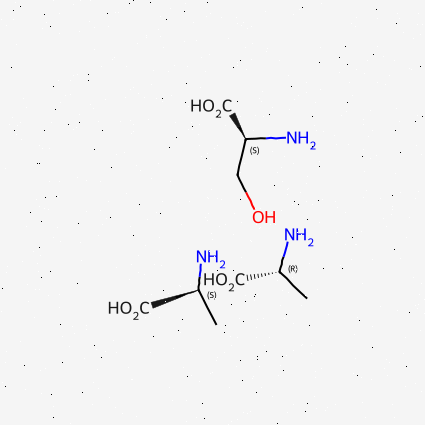 C[C@@H](N)C(=O)O.C[C@H](N)C(=O)O.N[C@@H](CO)C(=O)O